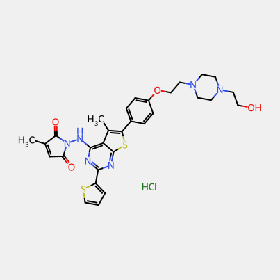 CC1=CC(=O)N(Nc2nc(-c3cccs3)nc3sc(-c4ccc(OCCN5CCN(CCO)CC5)cc4)c(C)c23)C1=O.Cl